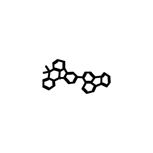 CC1(C)c2ccccc2-n2c3ccc(-c4ccc5c6c(cccc46)-c4ccccc4-5)cc3c3cccc1c32